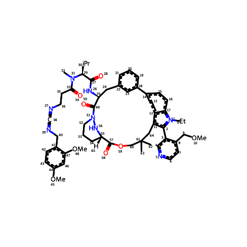 CCn1c(-c2cnccc2COC)c2c3cc(ccc31)-c1cccc(c1)C[C@H](NC(=O)[C@H](C(C)C)N(C)C(=O)CCN=C=NCc1ccc(OC)cc1OC)C(=O)N1CCC[C@H](N1)C(=O)OCC(C)(C)C2